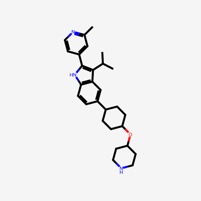 Cc1cc(-c2[nH]c3ccc(C4CCC(OC5CCNCC5)CC4)cc3c2C(C)C)ccn1